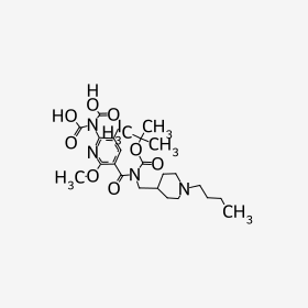 CCCCN1CCC(CN(C(=O)OC(C)(C)C)C(=O)c2cc(I)c(N(C(=O)O)C(=O)O)nc2OC)CC1